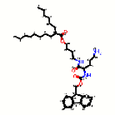 CCCCCCCCC(CCCCCC)C(=O)OCCCCNC(=O)C(CCCN)NC(=O)OCC1c2ccccc2-c2ccccc21